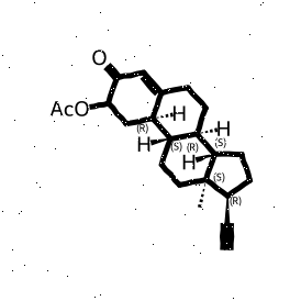 C#C[C@@H]1CC[C@H]2[C@@H]3CCC4=CC(=O)C(OC(C)=O)C[C@@H]4[C@H]3CC[C@]12C